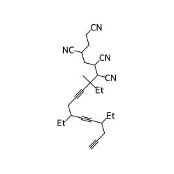 C#CCC(C#CC(CC)CC#CC(C)(CC)C(C#N)C(C#N)CC(C#N)CCC#N)CC